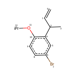 C=C[C](C)c1cc(Br)ccc1OC(C)C